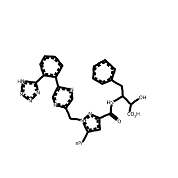 CCCc1cc(C(=O)NC(Cc2ccccc2)C(O)C(=O)O)nn1Cc1cnc(-c2ccccc2-c2nnn[nH]2)cn1